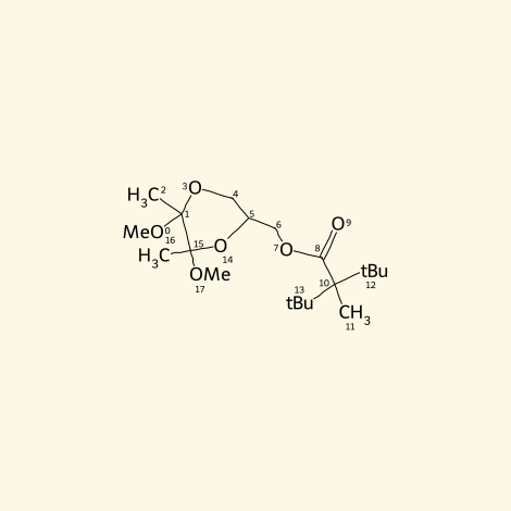 COC1(C)OCC(COC(=O)C(C)(C(C)(C)C)C(C)(C)C)OC1(C)OC